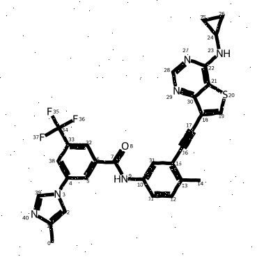 Cc1cn(-c2cc(C(=O)Nc3ccc(C)c(C#Cc4csc5c(NC6CC6)ncnc45)c3)cc(C(F)(F)F)c2)cn1